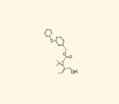 C/C=C(/CO)C1C(C(=O)OCc2cccc(Oc3ccccc3)c2)C1(C)C